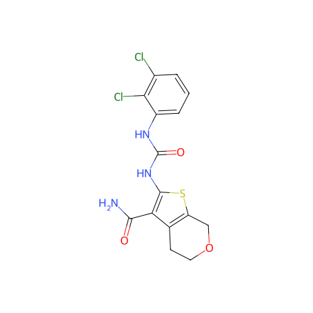 NC(=O)c1c(NC(=O)Nc2cccc(Cl)c2Cl)sc2c1CCOC2